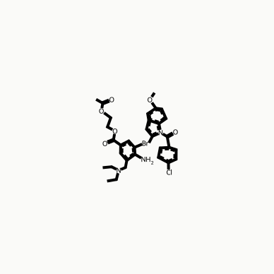 CCN(CC)Cc1cc(C(=O)OCCOC(C)=O)cc(Br)c1N.COc1ccc2c(c1)cc(C)n2C(=O)c1ccc(Cl)cc1